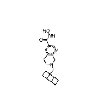 O=C(NO)c1cnc2c(c1)CCN(CC13C4C5C6C4C1C6C53)C2